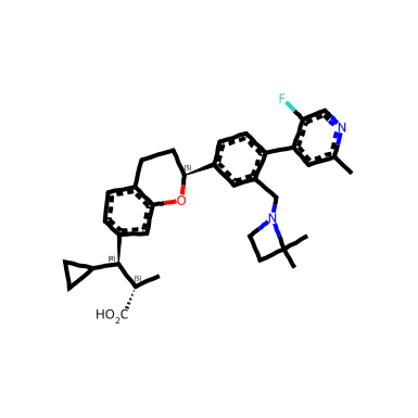 Cc1cc(-c2ccc([C@@H]3CCc4ccc([C@H](C5CC5)[C@H](C)C(=O)O)cc4O3)cc2CN2CCC2(C)C)c(F)cn1